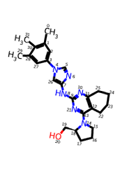 Cc1cc(-n2cnc(Nc3nc4c(c(N5CCC[C@H]5CO)n3)CCCC4)c2)cc(C)c1C